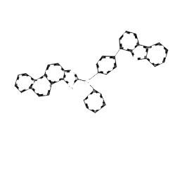 c1ccc(N(c2ccc(-c3cccc4c3sc3ccccc34)cc2)c2nc3c(ccc4c5ccccc5ccc43)s2)cc1